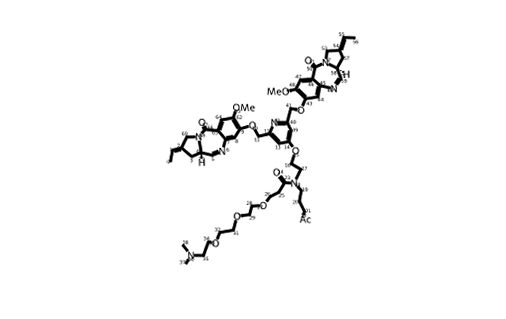 C/C=C1\C[C@H]2C=Nc3cc(OCc4cc(OCCN(CCCC(C)=O)C(=O)CCOCCOCCOCCN(C)C)cc(COc5cc6c(cc5OC)C(=O)N5C/C(=C/C)C[C@H]5C=N6)n4)c(OC)cc3C(=O)N2C1